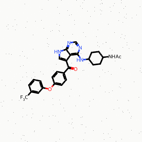 CC(=O)NC1CCC(Nc2ncnc3[nH]cc(C(=O)c4ccc(Oc5cccc(C(F)(F)F)c5)cc4)c23)CC1